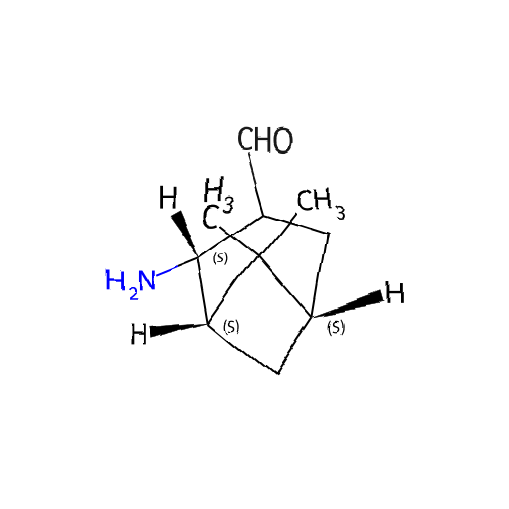 CC1(C)[C@@H]2CC(C=O)[C@@H](N)[C@H]1C2